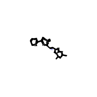 Cc1cc(C)n2cc(/C=C/c3nc(-c4ccccn4)cn3C)nc2n1